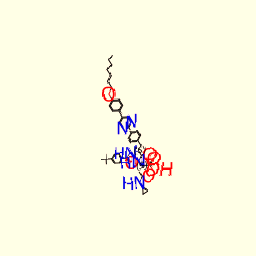 CCCCCCCOc1ccc(-c2cnc(-c3ccc(C[C@H](NC(=O)c4ccc(C(C)(C)C)cc4)C(=O)N[C@@H](CC(=O)NC4CC4)C(=O)O)cc3)nc2)cc1